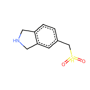 O=[SH](=O)Cc1ccc2c(c1)CNC2